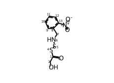 O=C(CO)SSNCc1ccccc1[N+](=O)[O-]